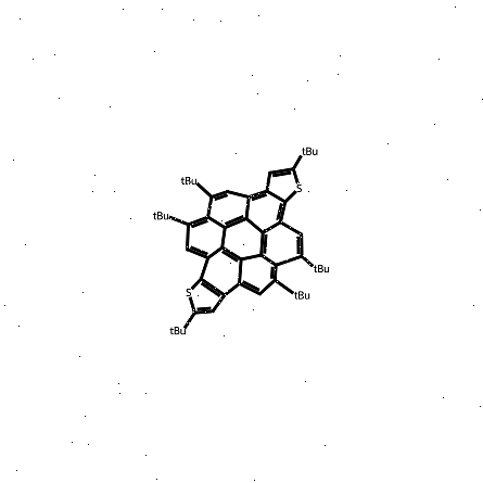 CC(C)(C)c1cc2c3cc(C(C)(C)C)c4c(C(C)(C)C)cc5c6sc(C(C)(C)C)cc6c6cc(C(C)(C)C)c7c(C(C)(C)C)cc(c2s1)c1c7c6c5c4c31